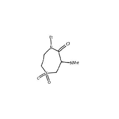 CCN1CCS(=O)(=O)CC(NC)C1=O